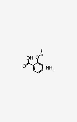 CSOc1ccccc1C(=O)O.N